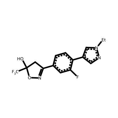 CCn1cc(-c2ccc(C3=NOC(O)(C(F)(F)F)C3)cc2F)cn1